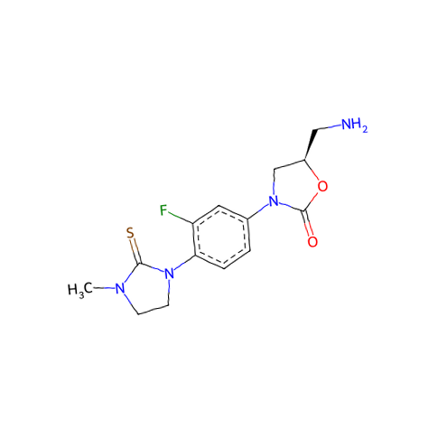 CN1CCN(c2ccc(N3C[C@@H](CN)OC3=O)cc2F)C1=S